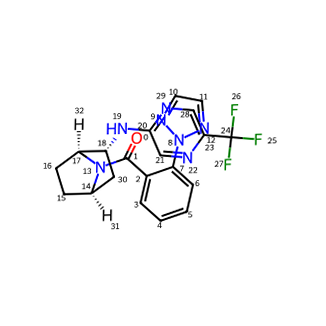 O=C(c1ccccc1-n1nccn1)N1[C@@H]2CC[C@H]1[C@H](Nc1cnc(C(F)(F)F)cn1)C2